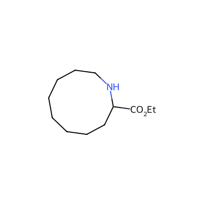 CCOC(=O)C1CCCCCCCCN1